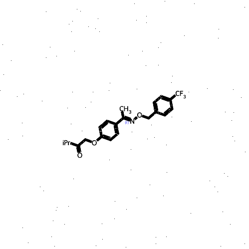 C/C(=N\OCc1ccc(C(F)(F)F)cc1)c1ccc(OCC(=O)C(C)C)cc1